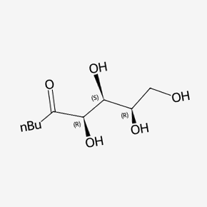 CCCCC(=O)[C@H](O)[C@@H](O)[C@H](O)CO